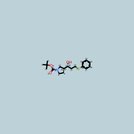 CC(C)(C)OC(=O)N1CC[C@H]([C@H](O)CCSc2ccccc2)C1